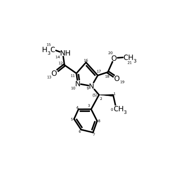 CC[C@@H](c1ccccc1)n1nc(C(=O)NC)cc1C(=O)OC